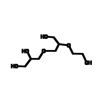 OCCOC(CO)COCC(O)CO